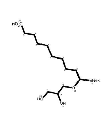 CCCCCCC(CCCCCCCCC(=O)O)OCC(O)CO